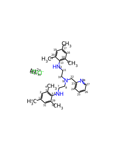 Cc1cc(C)c(NCCN(CCNc2c(C)cc(C)cc2C)Cc2ccccn2)c(C)c1.[Au+2].[Cl-].[Cl-]